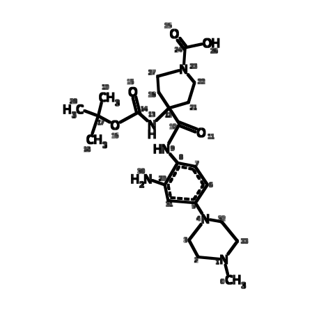 CN1CCN(c2ccc(NC(=O)C3(NC(=O)OC(C)(C)C)CCN(C(=O)O)CC3)c(N)c2)CC1